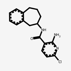 Nc1nc(Cl)ccc1C(=O)NC1CCCc2ccccc2C1